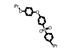 CC(C)Oc1ccc(Oc2ccc(S(=O)(=O)c3ccc(C(C)C)cc3)cc2)cc1